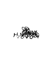 CC(C)(C)OC(=O)C(NC(=O)N[C@H](C(=O)N1C[C@H]2[C@@H]([C@H]1C(=O)NC(CC1CC1)C(=O)C(N)=O)C2(Cl)Cl)C1CCCCC1)C(C)(C)C